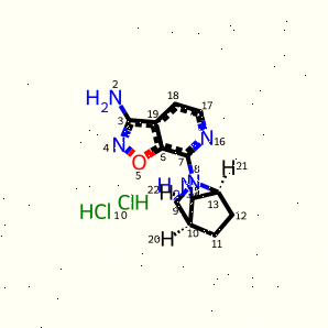 Cl.Cl.Nc1noc2c(N3C[C@@H]4CC[C@H]3[C@@H]4N)nccc12